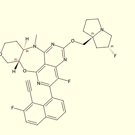 C#Cc1c(F)ccc2cccc(-c3nc4c5c(nc(OC[C@@]67CCCN6C[C@H](F)C7)nc5c3F)N(C)[C@@H]3CCOC[C@H]3O4)c12